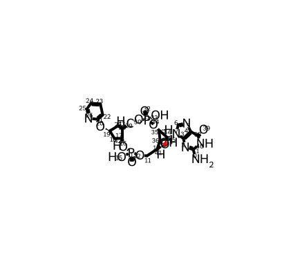 Nc1nc2c(ncn2[C@@H]2O[C@@H]3COP(=O)(O)O[C@H]4C[C@H](Oc5ccccn5)C[C@@H]4COP(=O)(O)O[C@@H]2[C@@H]3O)c(=O)[nH]1